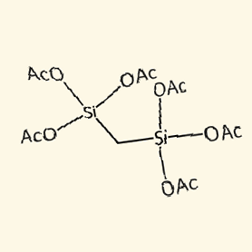 CC(=O)O[Si](C[Si](OC(C)=O)(OC(C)=O)OC(C)=O)(OC(C)=O)OC(C)=O